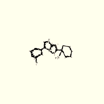 NC1(c2nn3c(-c4cccc(Cl)c4)cnc3s2)CCCCC1